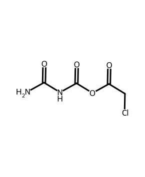 NC(=O)NC(=O)OC(=O)CCl